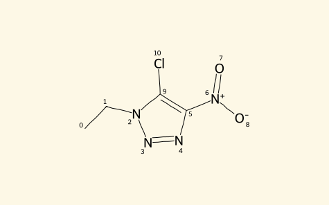 CCn1nnc([N+](=O)[O-])c1Cl